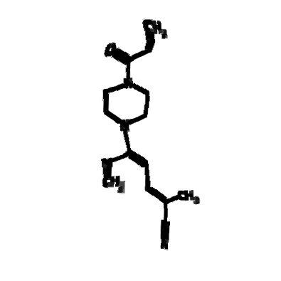 C=CC(=O)N1CCN(/C(=C/C=C(\C)C#N)N=C)CC1